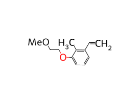 C=Cc1cccc(OCCOC)c1C